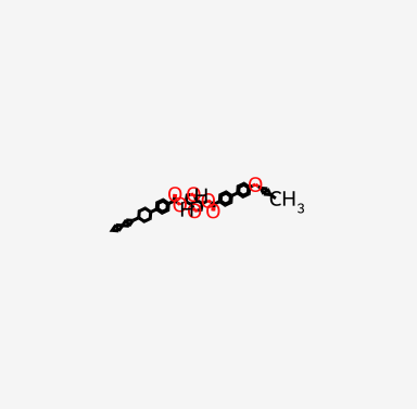 CC1C2C(Oc3ccc(-c4ccc(C(=O)OC5CO[C@H]6[C@@H](OC(=O)c7ccc(C8CCC(C9C%10C9C%109C%10CC%109)CC8)cc7)CO[C@@H]56)cc4)cc3)C12